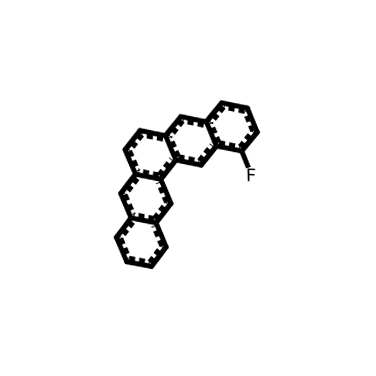 Fc1cccc2cc3ccc4cc5ccccc5cc4c3cc12